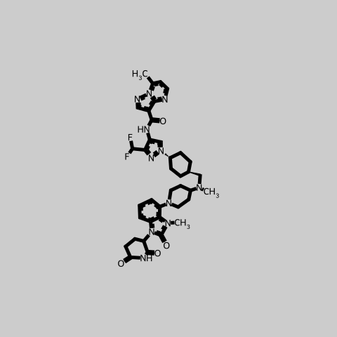 Cc1ccnc2c(C(=O)Nc3cn([C@H]4CC[C@H](CN(C)C5CCN(c6cccc7c6n(C)c(=O)n7C6CCC(=O)NC6=O)CC5)CC4)nc3C(F)F)cnn12